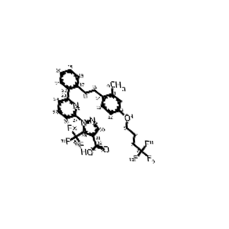 Cc1cc(OCCCC(F)(F)F)ccc1CCc1ccccc1-c1cccc(-n2ncc(C(=O)O)c2C(F)(F)F)n1